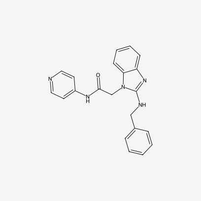 O=C(Cn1c(NCc2ccccc2)nc2ccccc21)Nc1ccncc1